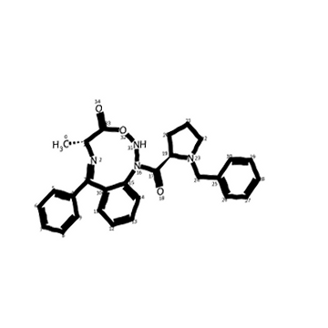 C[C@H]1/N=C(\c2ccccc2)c2ccccc2N(C(=O)[C@H]2CCCN2Cc2ccccc2)NOC1=O